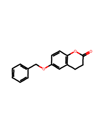 O=C1CCc2cc(OCc3ccccc3)ccc2O1